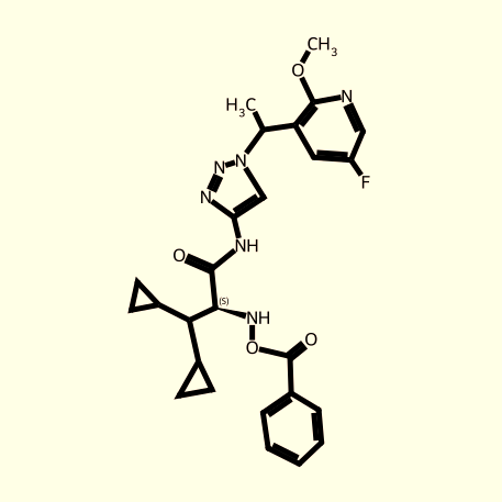 COc1ncc(F)cc1C(C)n1cc(NC(=O)[C@@H](NOC(=O)c2ccccc2)C(C2CC2)C2CC2)nn1